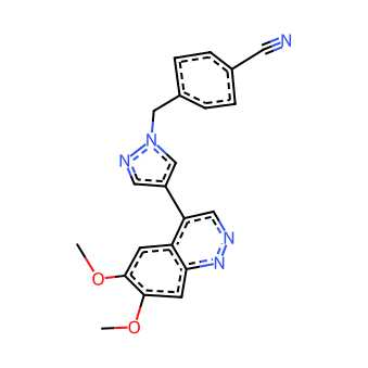 COc1cc2nncc(-c3cnn(Cc4ccc(C#N)cc4)c3)c2cc1OC